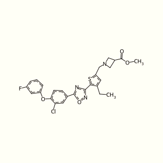 CCc1cc(CN2CC(C(=O)OC)C2)sc1-c1noc(-c2ccc(Oc3cccc(F)c3)c(Cl)c2)n1